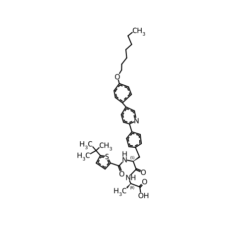 CCCCCCCOc1ccc(-c2ccc(-c3ccc(C[C@H](NC(=O)c4ccc(C(C)(C)C)s4)C(=O)N[C@H](C)C(=O)O)cc3)nc2)cc1